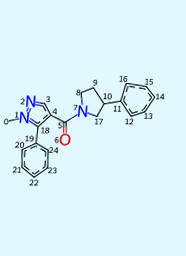 Cn1ncc(C(=O)N2CCC(c3ccccc3)C2)c1-c1ccccc1